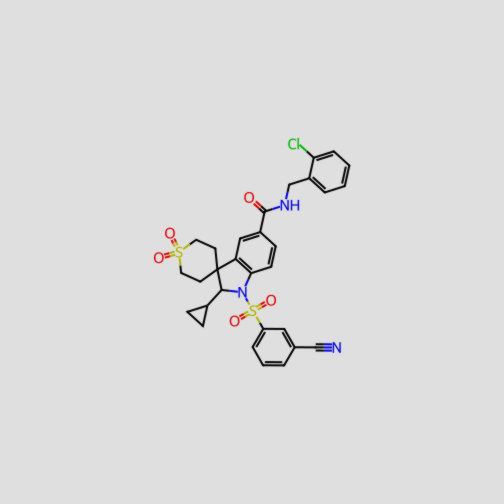 N#Cc1cccc(S(=O)(=O)N2c3ccc(C(=O)NCc4ccccc4Cl)cc3C3(CCS(=O)(=O)CC3)C2C2CC2)c1